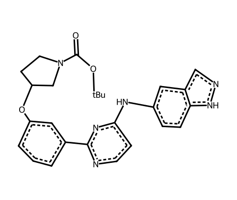 CC(C)(C)OC(=O)N1CCC(Oc2cccc(-c3nccc(Nc4ccc5[nH]ncc5c4)n3)c2)C1